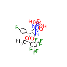 C[C@@H](O[C@H]1OCCC(Cc2nn(P(=O)(O)O)c(=O)[nH]2)[C@H]1c1ccc(F)cc1)c1cc(C(F)(F)F)cc(C(F)(F)F)c1